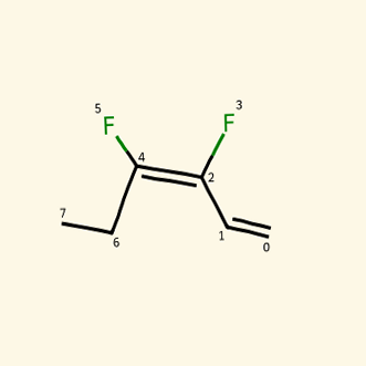 C=C/C(F)=C(/F)CC